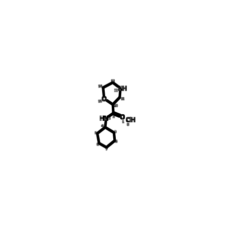 Cl.O=C(NC1CCCCC1)C1CNCCO1